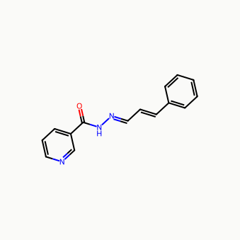 O=C(NN=CC=Cc1ccccc1)c1cccnc1